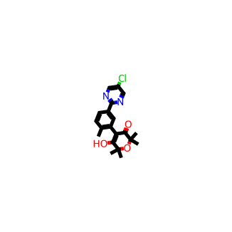 Cc1ccc(-c2ncc(Cl)cn2)cc1C1=C(O)C(C)(C)OC(C)(C)C1=O